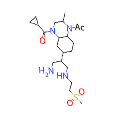 CC(=O)N1C(C)CN(C(=O)C2CC2)C2CC(C(CN)CNCCS(C)(=O)=O)CCC21